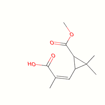 COC(=O)C1C(C=C(C)C(=O)O)C1(C)C